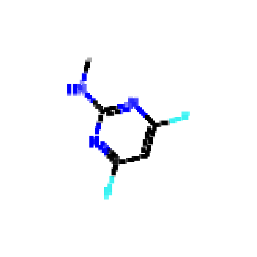 CNc1nc(F)cc(F)n1